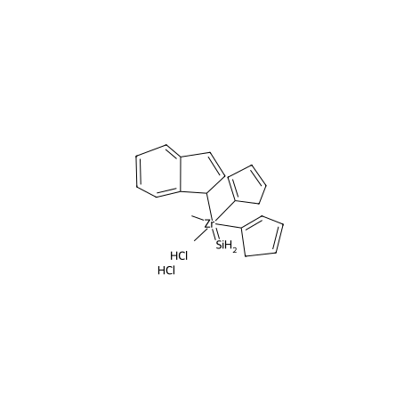 Cl.Cl.[CH3][Zr]([CH3])(=[SiH2])([C]1=CC=CC1)([C]1=CC=CC1)[CH]1C=Cc2ccccc21